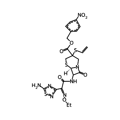 C=CSC1(C(=O)OCc2ccc([N+](=O)[O-])cc2)CS[C@@H]2C(NC(=O)C(=NOCC)c3nsc(N)n3)C(=O)N2C1